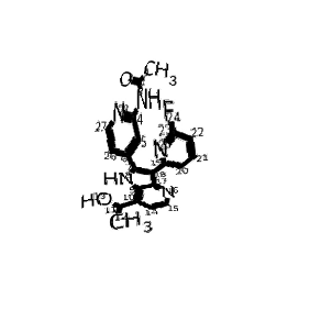 CC(=O)Nc1cc(-c2[nH]c3c(C(C)O)ccnc3c2-c2cccc(F)n2)ccn1